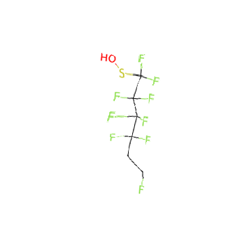 OSC(F)(F)C(F)(F)C(F)(F)C(F)(F)CCF